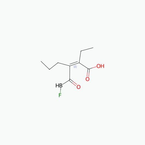 CCC/C(C(=O)BF)=C(\CC)C(=O)O